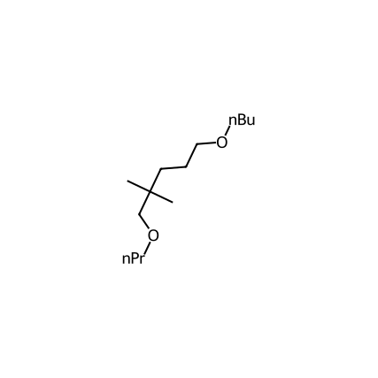 CCCCOCCCC(C)(C)COCCC